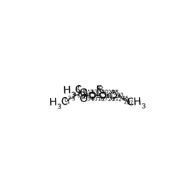 CCCCCCC(C)OC(=O)c1ccc(-c2ccc([C@H]3CC[C@H](CCCCC)CC3)cc2F)cc1